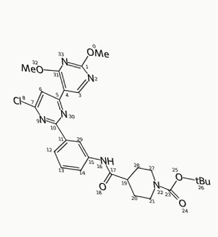 COc1ncc(-c2cc(Cl)nc(-c3cccc(NC(=O)C4CCN(C(=O)OC(C)(C)C)CC4)c3)n2)c(OC)n1